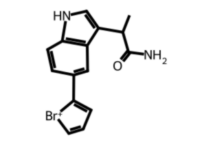 CC(C(N)=O)c1c[nH]c2ccc(C3=CC=C[Br+]3)cc12